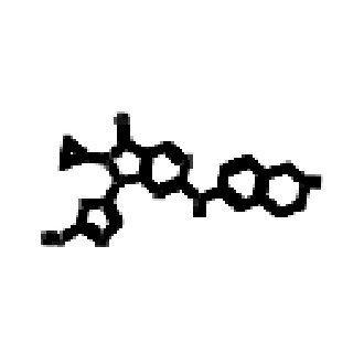 CC(C)(C)c1ncc(-n2c3nc(Nc4ccc5c(c4)CCNC5)ncc3c(=O)n2C2CC2)s1